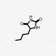 [CH2]CCCC1NC(=O)NC1=O